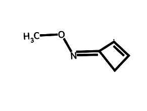 CON=C1[C]=CC1